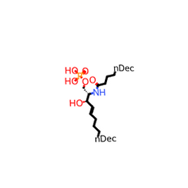 CCCCCCCCCCCCC/C=C/[C@@H](O)[C@H](COP(=O)(O)O)NC(=O)CCCCCCCCCCCCC